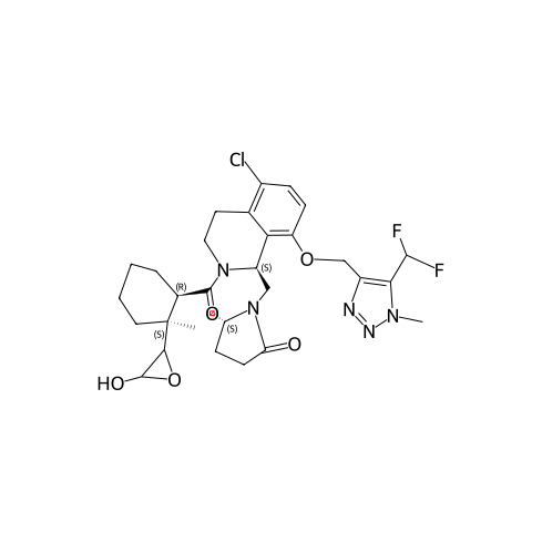 C[C@H]1CCC(=O)N1C[C@@H]1c2c(OCc3nnn(C)c3C(F)F)ccc(Cl)c2CCN1C(=O)[C@@H]1CCCC[C@]1(C)C1OC1O